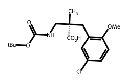 COc1ccc(Cl)cc1C[C@](C)(CNC(=O)OC(C)(C)C)C(=O)O